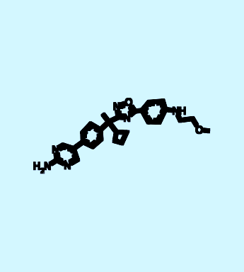 COCCNc1ccc(-c2nc(C(C)(c3ccc(-c4cnc(N)nc4)cc3)C3CCC3)no2)cc1